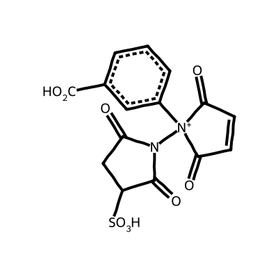 O=C(O)c1cccc([N+]2(N3C(=O)CC(S(=O)(=O)O)C3=O)C(=O)C=CC2=O)c1